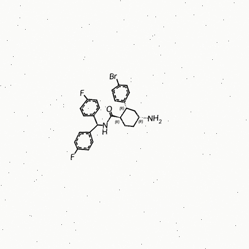 N[C@@H]1CC[C@@H](C(=O)NC(c2ccc(F)cc2)c2ccc(F)cc2)[C@H](c2ccc(Br)cc2)C1